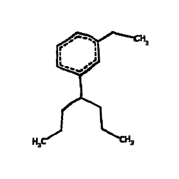 CCCC(CCC)c1cccc(CC)c1